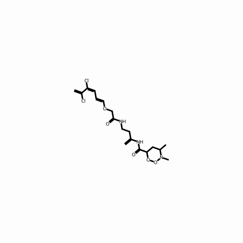 C=C(CCNC(=O)CO/C=C/C=C(/Cl)C(=C)Cl)NC(=O)C1CC(C)N(C)OO1